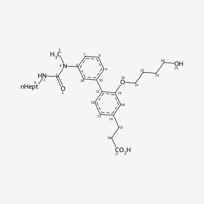 CCCCCCCNC(=O)N(C)c1cccc(-c2ccc(CCC(=O)O)cc2OCCCCO)c1